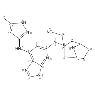 Cc1cc(Nc2nc(NC3CC4CCC(C3)N4CCC#N)nc3[nH]cnc23)n[nH]1